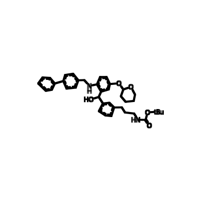 CC(C)(C)OC(=O)NCCCc1cccc(C(O)c2cc(OC3CCCCO3)ccc2NCc2ccc(-c3ccccc3)cc2)c1